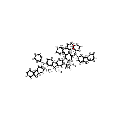 CC1(C)c2cc(N(c3ccccc3)c3ccc4oc5ccccc5c4c3)ccc2-c2cc3c(cc21)C(C)(C)c1cc(N(c2ccccc2)c2ccc4oc5ccccc5c4c2)c2c4ccccc4c4ccccc4c2c1-3